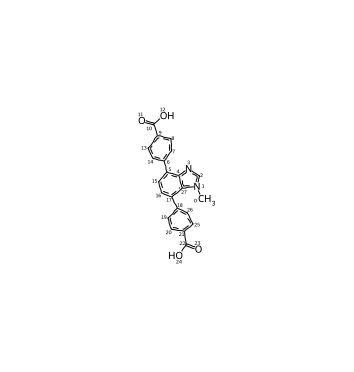 Cn1cnc2c(-c3ccc(C(=O)O)cc3)ccc(-c3ccc(C(=O)O)cc3)c21